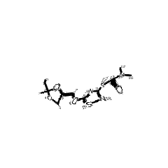 CCC1(C)OCC(COc2nc(SC(=O)N(C)C)ns2)O1